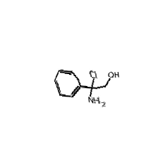 NC(Cl)(CO)c1ccccc1